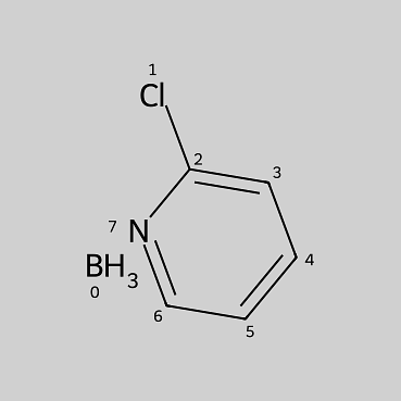 B.Clc1ccccn1